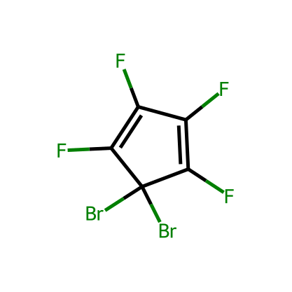 FC1=C(F)C(Br)(Br)C(F)=C1F